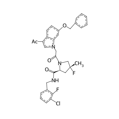 CC(=O)c1cn(CC(=O)N2C[C@](C)(F)C[C@H]2C(=O)NCc2cccc(Cl)c2F)c2cc(OCc3ccccc3)ccc12